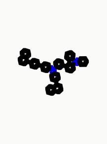 c1ccc(-n2c3ccccc3c3c(-c4cccc(N(c5ccc(-c6ccc(-c7cccc8ccccc78)cc6)cc5)c5ccc(-c6cccc7ccccc67)cc5)c4)cccc32)cc1